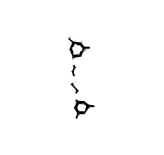 Cc1cc(C)cc(OCCOCCOc2cc(C)cc(C)c2)c1